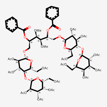 CO[C@@H]([C@H](OC)[C@@H](CO[C@@H]1O[C@H](COC(C)=O)[C@@H](O[C@@H]2O[C@H](COC(C)=O)[C@H](OC(C)=O)[C@H](OC(C)=O)[C@H]2OC(C)=O)[C@H](OC(C)=O)[C@H]1OC(C)=O)OC(=O)c1ccccc1)[C@@H](CO[C@@H]1O[C@H](COC(C)=O)[C@@H](O[C@@H]2O[C@H](COC(C)=O)[C@H](OC(C)=O)[C@H](OC(C)=O)[C@H]2OC(C)=O)[C@H](OC(C)=O)[C@H]1OC(C)=O)OC(=O)c1ccccc1